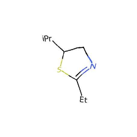 CCC1=NCC(C(C)C)S1